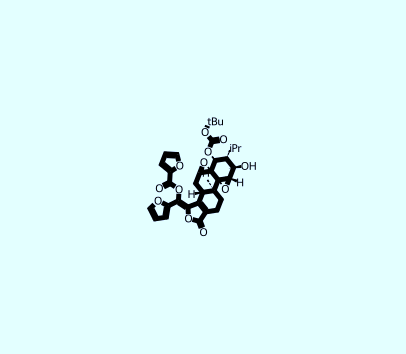 CC(C)[C@@H]1[C@@H](O)[C@@H]2O[C@]23[C@]2(O[C@H]2C[C@H]2C4=C(CC[C@@]23C)C(=O)O/C4=C(/OC(=O)c2ccco2)c2ccco2)[C@@H]1OC(=O)OC(C)(C)C